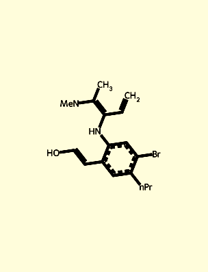 C=C/C(Nc1cc(Br)c(CCC)cc1/C=C/O)=C(\C)NC